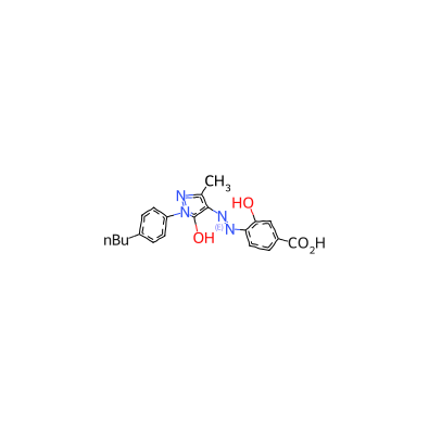 CCCCc1ccc(-n2nc(C)c(/N=N/c3ccc(C(=O)O)cc3O)c2O)cc1